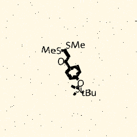 CSC(=CC(=O)c1ccc(O[Si](C)(C)C(C)(C)C)cc1)SC